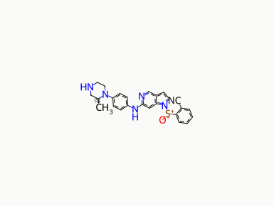 C[C@H]1CNCCN1c1ccc(Nc2cc3c(ccn3[S+]([O-])c3ccccc3C#N)cn2)cc1